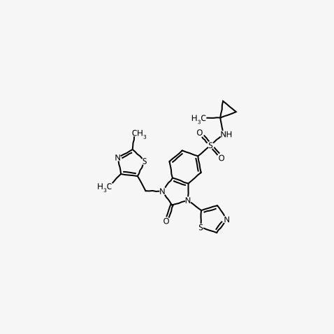 Cc1nc(C)c(Cn2c(=O)n(-c3cncs3)c3cc(S(=O)(=O)NC4(C)CC4)ccc32)s1